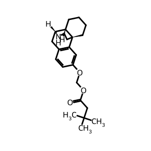 CC(C)(C)CC(=O)OCOc1ccc2c(c1)[C@@]13CCCC[C@H]1[C@@H](C2)NCC3